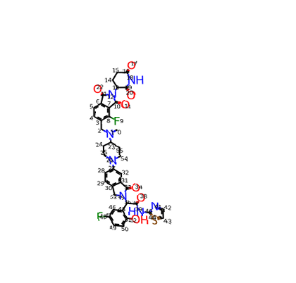 CN(Cc1ccc2c(c1F)C(=O)N(C1CCC(=O)NC1=O)C2=O)C1CCN(c2ccc3c(c2)C(=O)N(C(C(=O)Nc2nccs2)c2cc(F)ccc2O)C3)CC1